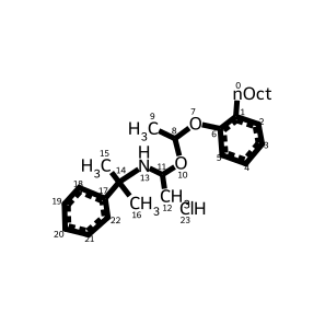 CCCCCCCCc1ccccc1OC(C)OC(C)NC(C)(C)c1ccccc1.Cl